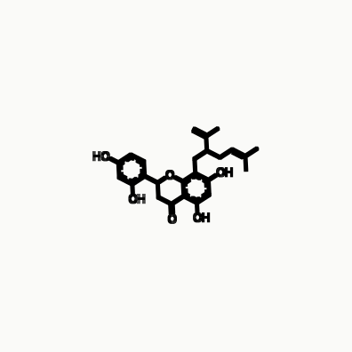 C=C(C)C(CC=C(C)C)Cc1c(O)cc(O)c2c1OC(c1ccc(O)cc1O)CC2=O